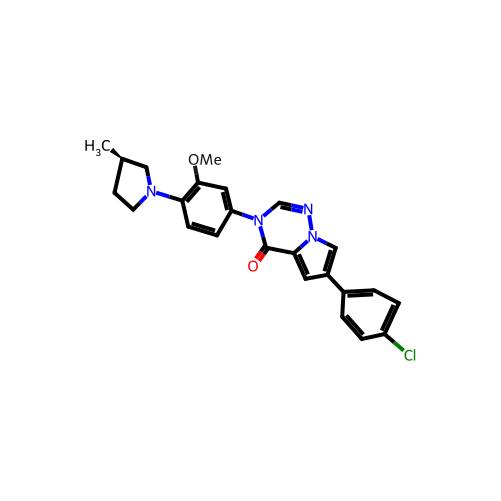 COc1cc(-n2cnn3cc(-c4ccc(Cl)cc4)cc3c2=O)ccc1N1CC[C@@H](C)C1